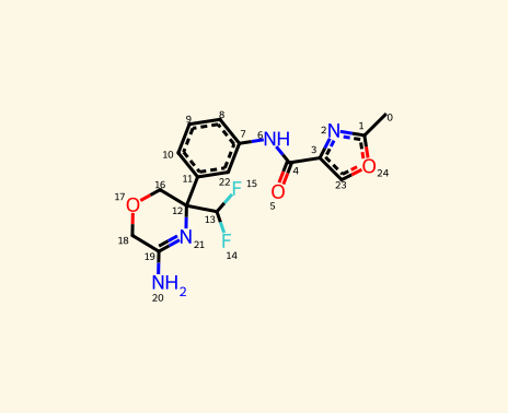 Cc1nc(C(=O)Nc2cccc(C3(C(F)F)COCC(N)=N3)c2)co1